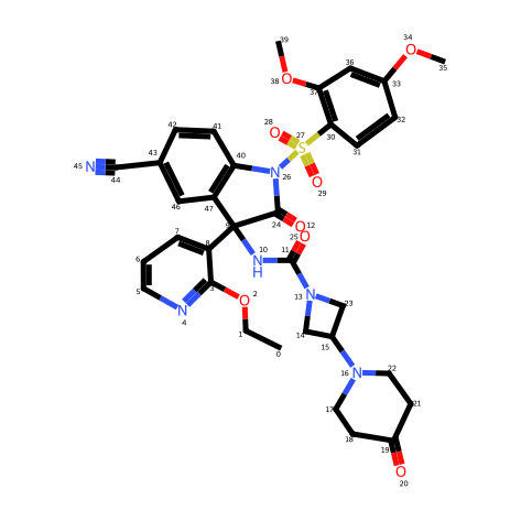 CCOc1ncccc1C1(NC(=O)N2CC(N3CCC(=O)CC3)C2)C(=O)N(S(=O)(=O)c2ccc(OC)cc2OC)c2ccc(C#N)cc21